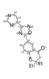 CCC1(CC)CC(=O)c2cc(-c3nc(-c4ccncn4)no3)ccc2O1